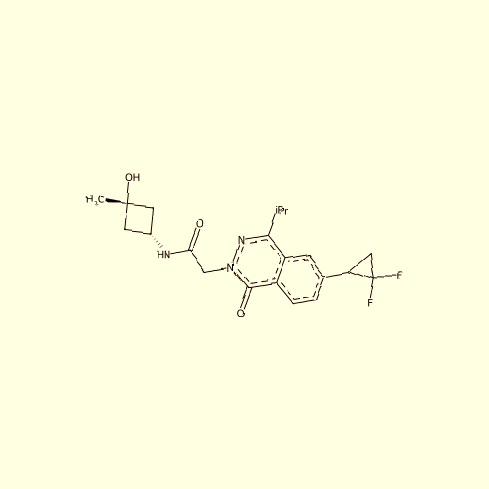 CC(C)c1nn(CC(=O)N[C@H]2C[C@@](C)(O)C2)c(=O)c2ccc(C3CC3(F)F)cc12